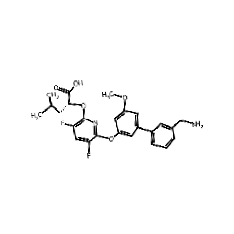 COc1cc(Oc2nc(O[C@H](CC(C)C)C(=O)O)c(F)cc2F)cc(-c2cccc(CN)c2)c1